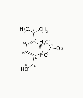 CC(=O)O.CC(C)c1ccc(CO)cc1